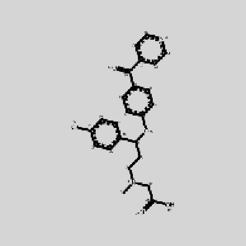 CN(CCC(Oc1ccc(C(=O)c2ccncc2)cc1)c1ccc(Cl)cc1)CC(=O)O